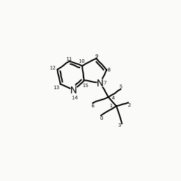 CC(C)(C)C(C)(C)n1ccc2cccnc21